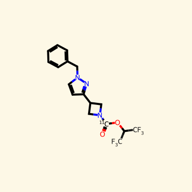 O=[11C](OC(C(F)(F)F)C(F)(F)F)N1CC(c2ccn(Cc3ccccc3)n2)C1